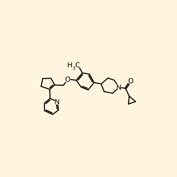 Cc1cc(C2CCN(C(=O)C3CC3)CC2)ccc1OCC1=C(c2ccccn2)CCC1